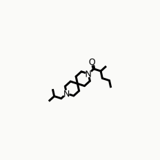 CCCC(C)C(=O)N1CCC2(CCN(CC(C)C)CC2)CC1